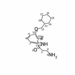 N=S(=O)(CCN)c1cccc(OCC2CCCCC2)c1F